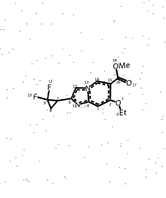 CCOc1cc2nc(C3CC3(F)F)cn2cc1C(=O)OC